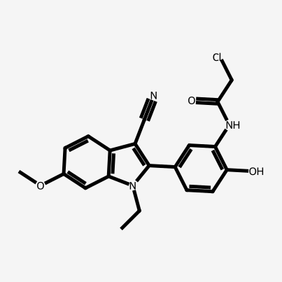 CCn1c(-c2ccc(O)c(NC(=O)CCl)c2)c(C#N)c2ccc(OC)cc21